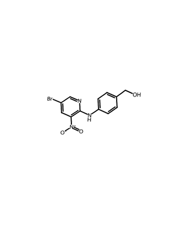 O=[N+]([O-])c1cc(Br)cnc1Nc1ccc(CO)cc1